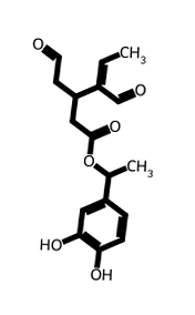 CC=C(C=O)C(CC=O)CC(=O)OC(C)c1ccc(O)c(O)c1